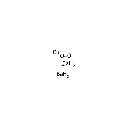 O=O.[BaH2].[CaH2].[Cu].[Ti]